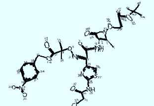 C[C@H]1[C@H](NC(=O)C(=NOC(C)(C)C(=O)OCc2ccc([N+](=O)[O-])cc2)c2csc(NC(=O)CCl)n2)C(=O)N1OCC(=O)OC(C)(C)C